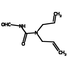 C=CCN(CC=C)C(=O)NC=O